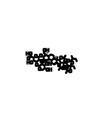 C/C=C(/C)C(=O)O[C@@H]([C@H](OC(C)=O)C(C)(C)CC)[C@](C)(CO)[C@H](OC(C)=O)[C@H](OC(C)=O)[C@]1(C)C(C)=CCC2[C@@]3(C)CCC(OC4OC(C(=O)O)C(O)C(OC5OCC(O)C(O)C5O)C4O)[C@@](C)(CO)C3CC[C@]21C